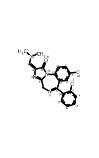 CN(C)C=C1N=C2CN=C(c3ccccc3Cl)c3cc(Cl)ccc3N2C1=O